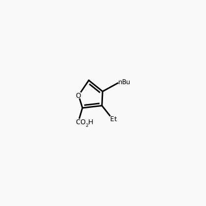 CCCCc1coc(C(=O)O)c1CC